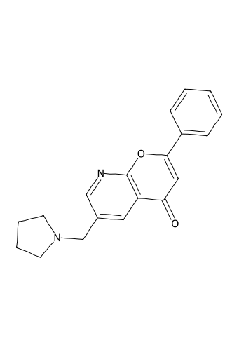 O=c1cc(-c2ccccc2)oc2ncc(CN3CCCC3)cc12